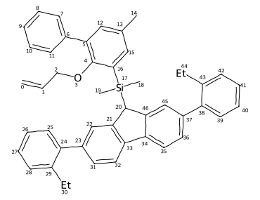 C=CCOc1c(-c2ccccc2)cc(C)cc1[Si](C)(C)C1c2cc(-c3ccccc3CC)ccc2-c2ccc(-c3ccccc3CC)cc21